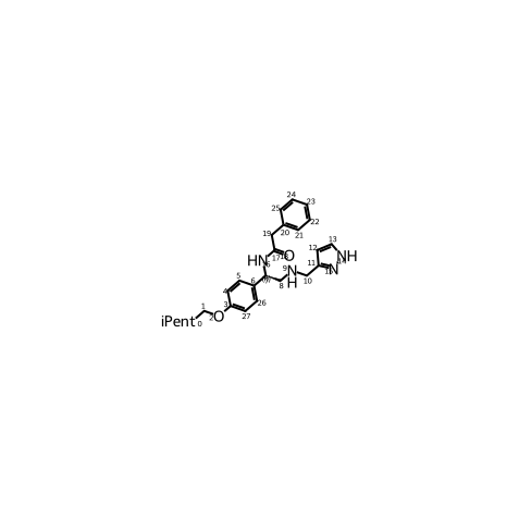 CCCC(C)COc1ccc([C@H](CNCc2cc[nH]n2)NC(=O)Cc2ccccc2)cc1